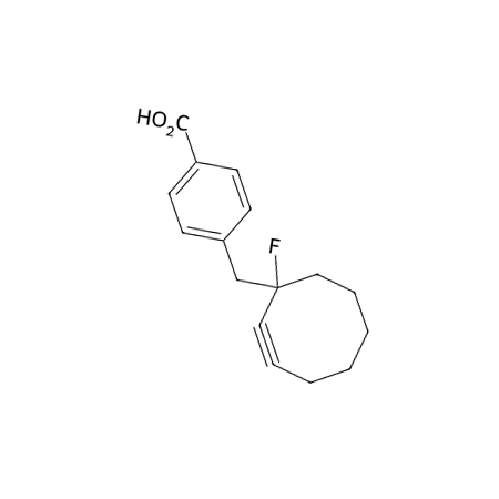 O=C(O)c1ccc(CC2(F)C#CCCCCC2)cc1